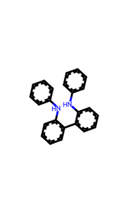 c1ccc(Nc2ccccc2-c2ccccc2Nc2ccccc2)cc1